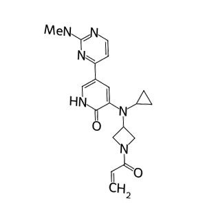 C=CC(=O)N1CC(N(c2cc(-c3ccnc(NC)n3)c[nH]c2=O)C2CC2)C1